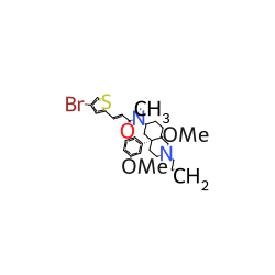 C=CCN1CC[C@@]2(c3cccc(OC)c3)C[C@H](N(C)C(=O)/C=C/c3cc(Br)cs3)CC[C@]2(OC)C1